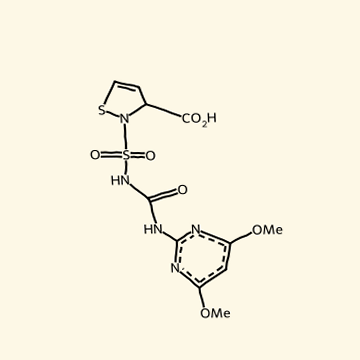 COc1cc(OC)nc(NC(=O)NS(=O)(=O)N2SC=CC2C(=O)O)n1